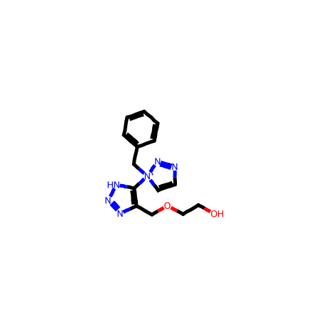 OCCOCc1nn[nH]c1[N+]1(Cc2ccccc2)[C]=CN=N1